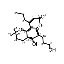 CCCc1cc(=O)oc2c(CCCO)c(O)c3c(c12)OC(C)(C)CC3